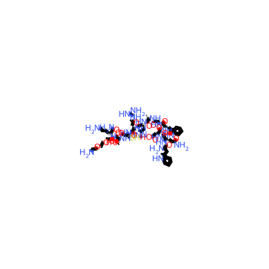 C[C@H](NC(=O)CNC(=O)[C@H](Cc1c[nH]c2ccccc12)NC(=O)[C@H](CC(=O)O)NC(=O)[C@H](CCC(N)=O)NC(=O)[C@@H](N)Cc1c[nH]c2ccccc12)C(=O)N[C@@H](Cc1c[nH]cn1)C(=O)N[C@@H](CCCNC(=N)N)C(=O)N[C@@H](CS)C(=O)N[C@H](C(=O)N(C(=O)COCCOCCN)[C@@H](CCCCN)C(N)=O)[C@@H](C)O